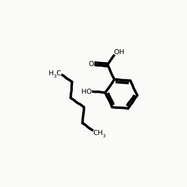 CCCCCC.O=C(O)c1ccccc1O